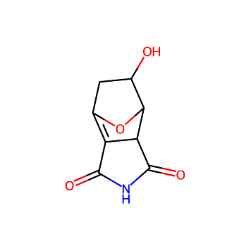 O=C1NC(=O)C2C1=C1CC(O)C2O1